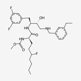 CCCCC(F)CC[C@@H](NC(=O)OC)C(=O)N[C@@H](Cc1cc(F)cc(F)c1)[C@H](O)CNCc1cccc(CC)c1